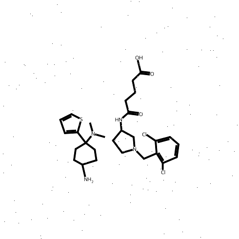 CN(C)C1(c2cccs2)CCC(N)CC1.O=C(O)CCCC(=O)NC1CCN(Cc2c(Cl)cccc2Cl)C1